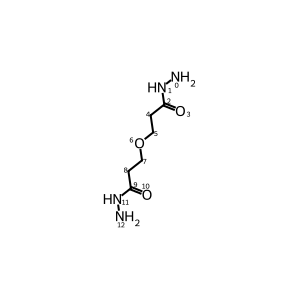 NNC(=O)CCOCCC(=O)NN